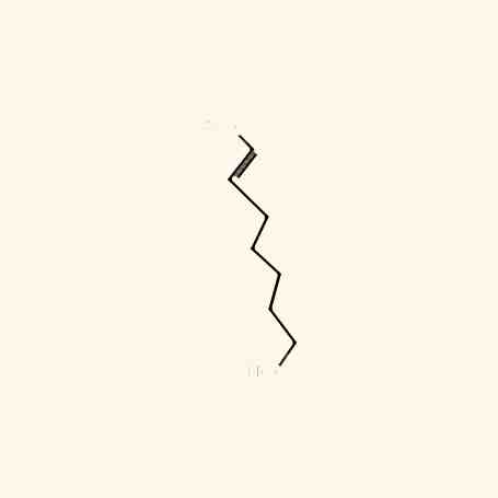 CCCCCCCCCCC/C=C/OC(C)=O